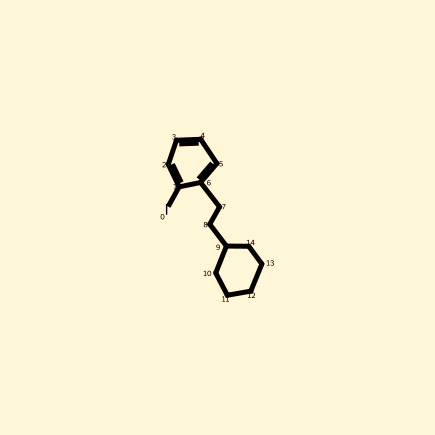 Ic1ccccc1CCC1CCCCC1